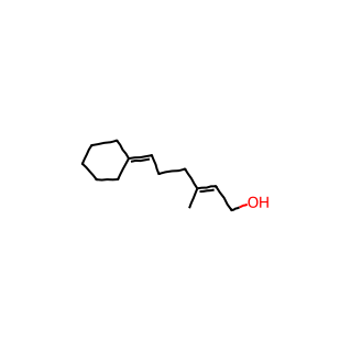 C/C(=C\CO)CCC=C1CCCCC1